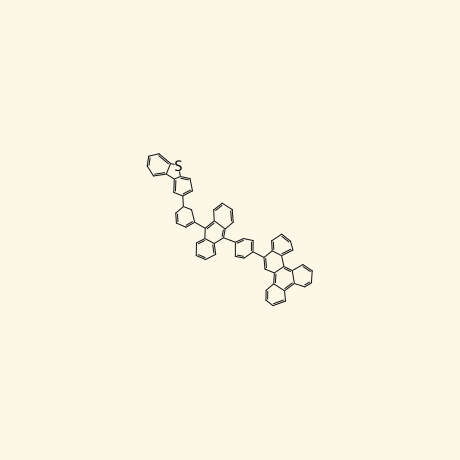 C1=CC(c2ccc3sc4ccccc4c3c2)CC(c2c3ccccc3c(-c3ccc(-c4cc5c6ccccc6c6ccccc6c5c5ccccc45)cc3)c3ccccc23)=C1